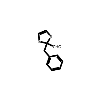 O=CC1(Cc2ccccc2)SC=CS1